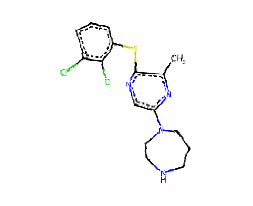 Cc1nc(N2CCCNCC2)cnc1Sc1cccc(Cl)c1Cl